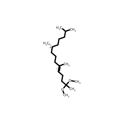 COC(C)(CC/C=C(\C)CCC[C@H](C)CCCC(C)C)OC